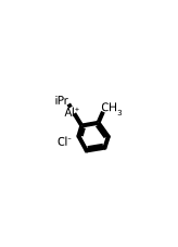 Cc1cccc[c]1[Al+][CH](C)C.[Cl-]